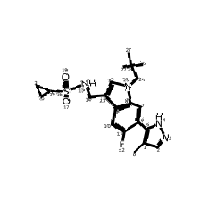 Cc1cn[nH]c1-c1cc2c(cc1F)c(CNS(=O)(=O)C1CC1)cn2CC(C)(C)C